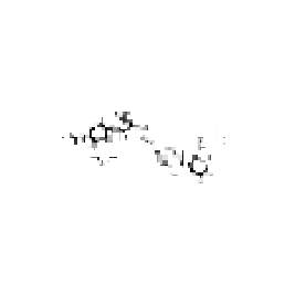 CCOc1ccccc1N1CCN(CCCCC2CC(c3ccc(OC)c(OC)c3)=NO2)CC1